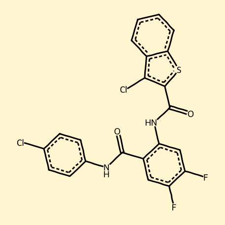 O=C(Nc1ccc(Cl)cc1)c1cc(F)c(F)cc1NC(=O)c1sc2ccccc2c1Cl